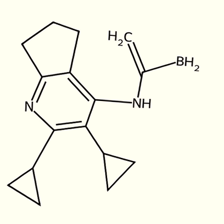 BC(=C)Nc1c2c(nc(C3CC3)c1C1CC1)CCC2